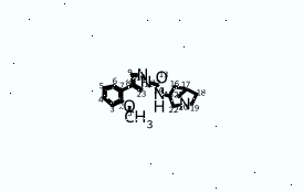 COc1ccccc1-c1cnn(C(=O)NC2CC3CCN(C3)C2)c1